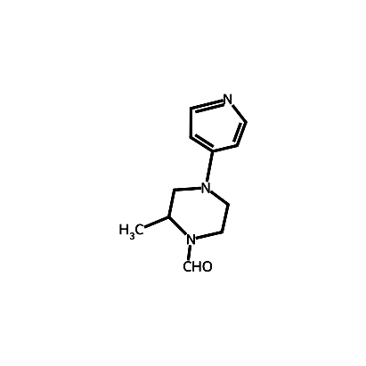 CC1CN(c2ccncc2)CCN1C=O